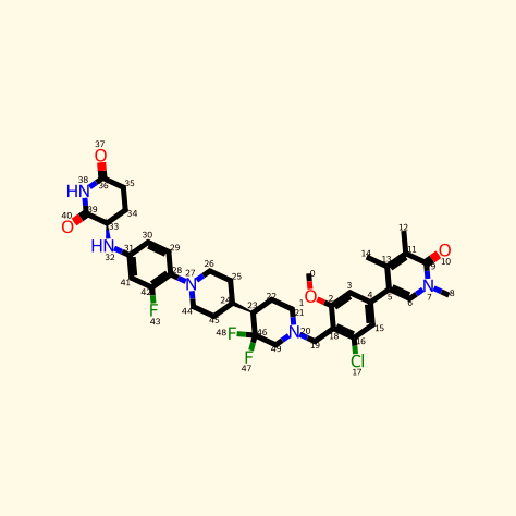 COc1cc(-c2cn(C)c(=O)c(C)c2C)cc(Cl)c1CN1CC[C@H](C2CCN(c3ccc(N[C@@H]4CCC(=O)NC4=O)cc3F)CC2)C(F)(F)C1